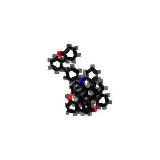 c1ccc2c(c1)Oc1ccccc1C21c2ccccc2-c2ccc(-c3ccccc3N(c3ccc(-c4cccc5oc6ccccc6c45)cc3)c3cccc4c3-c3ccccc3C43c4ccccc4Oc4ccccc43)cc21